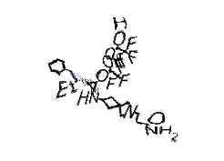 CC/C(=C\c1ccccc1)[C@@H]1C[C@H]1NC1CC2(C1)CN(CCC(N)=O)C2.O=C(O)C(F)(F)F.O=C(O)C(F)(F)F